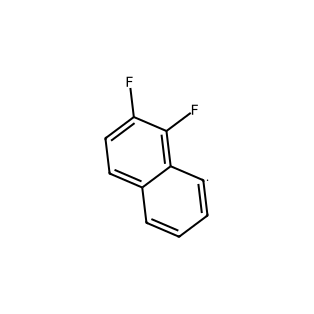 Fc1ccc2ccc[c]c2c1F